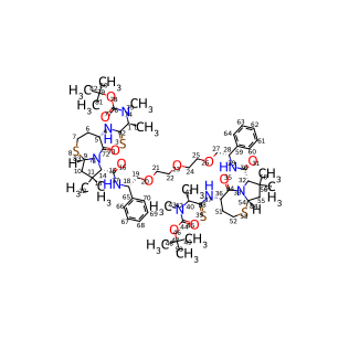 C[C@@H](C(=S)N[C@H]1CCS[C@H]2CC(C)(C)[C@@H](C(=O)N[C@H](COCCOCCOC[C@@H](NC(=O)[C@H]3N4C(=O)[C@@H](NC(=S)[C@H](C)N(C)C(=O)OC(C)(C)C)CCS[C@H]4CC3(C)C)c3ccccc3)c3ccccc3)N2C1=O)N(C)C(=O)OC(C)(C)C